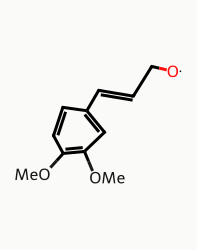 COc1ccc(C=CC[O])cc1OC